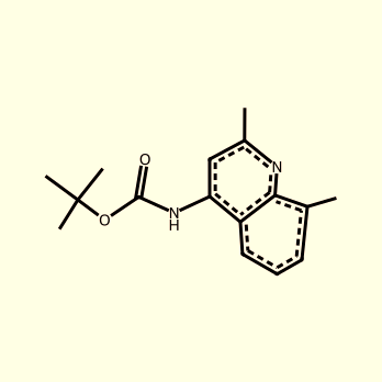 Cc1cc(NC(=O)OC(C)(C)C)c2cccc(C)c2n1